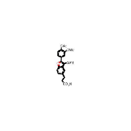 COc1cc(-c2oc3ccc(CCC(=O)O)cc3c2SC)ccc1OC(C)=O